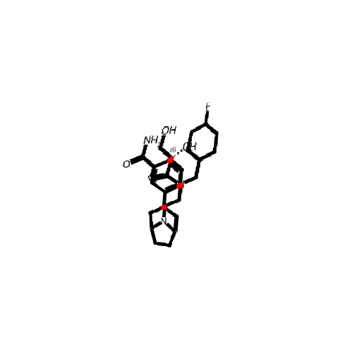 NC(=O)c1cccc(C2CC3CCC(C2)N3CCN(CC2CCC(F)CC2)C(=O)[C@@H](O)CO)c1